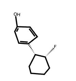 Oc1ccc([C@H]2CCCC[C@H]2F)cc1